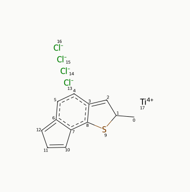 CC1C=c2ccc3c(c2S1)C=CC=3.[Cl-].[Cl-].[Cl-].[Cl-].[Ti+4]